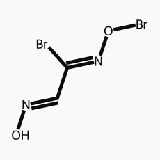 ON=CC(Br)=NOBr